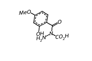 COc1ccc(C(=O)N(N)C(=O)O)c(O)c1